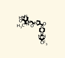 Cc1nn(CC(=O)N2CCC(C(=O)N3CCN(c4ncc(C(F)(F)F)cn4)CC3)C2)c2cn[nH]c(=O)c12